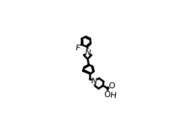 O=C(O)C1CCN(Cc2ccc(C3CN(c4ccccc4F)C3)cc2)CC1